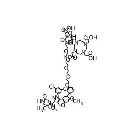 COc1cc2c(cc1-c1cccc(OCCOCCOCCOCCOCCNC(=O)[C@H](CS(=O)(=O)O)NC(=O)CN3CCN(CC(=O)O)CCN(CC(=O)O)CCN(CC(=O)O)CC3)c1)-c1c(c(C(=O)N3CC(=O)NCC3(C)C)nn1-c1cc(Cl)cc(Cl)c1)CO2